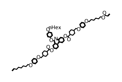 C=CCCCCCCOc1ccc(OCC2CCC(C(=O)Oc3ccc4c(c3)c(Oc3ccc(OCCCCCC)cc3)nc3cc(OC(=O)C5CCC(COc6ccc(OCCCCCCOC(=O)C=C)cc6)CC5)ccc34)CC2)cc1